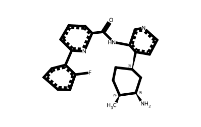 C[C@H]1CC[C@@H](c2ccncc2NC(=O)c2cccc(-c3ccccc3F)n2)C[C@H]1N